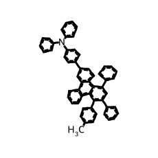 Cc1ccc(-c2c(-c3ccccc3)cc(-c3ccccc3)c3c4ccc(-c5ccc(N(c6ccccc6)c6ccccc6)cc5)cc4c4ccccc4c23)cc1